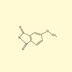 COc1ccc2c(c1)C(=O)[N]C2=O